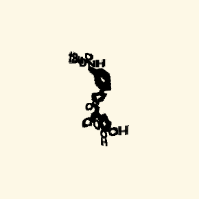 CC(C)(C)OC(=O)NCc1cccc(C2CCN(C(=O)Cc3cc(=O)oc4c(O)c(O)ccc34)CC2)c1